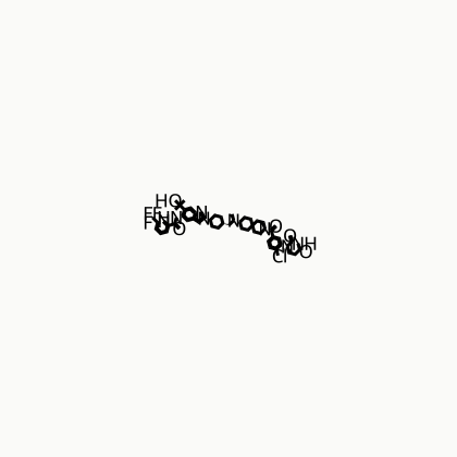 CN(C[C@H]1CC[C@H](n2cc3cc(NC(=O)c4cccc(C(F)(F)F)n4)c(C(C)(C)O)cc3n2)CC1)C1CCC2(CC1)CCN(C(=O)c1ccc(Cl)c(N3CCC(=O)NC3=O)c1)CC2